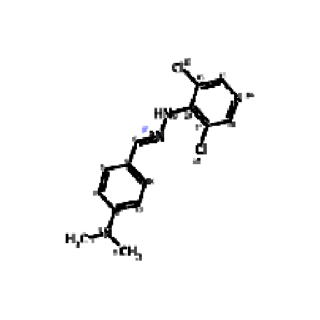 CN(C)c1ccc(/C=N/Nc2c(Cl)cncc2Cl)cc1